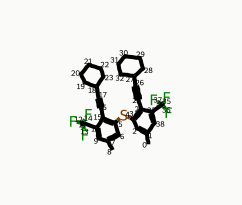 Cc1cc(Sc2cc(C)cc(C(F)(F)F)c2C#CC2CCCCC2)c(C#CC2CCCCC2)c(C(F)(F)F)c1